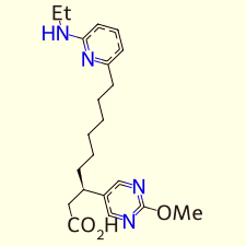 CCNc1cccc(CCCCCC[C@H](CC(=O)O)c2cnc(OC)nc2)n1